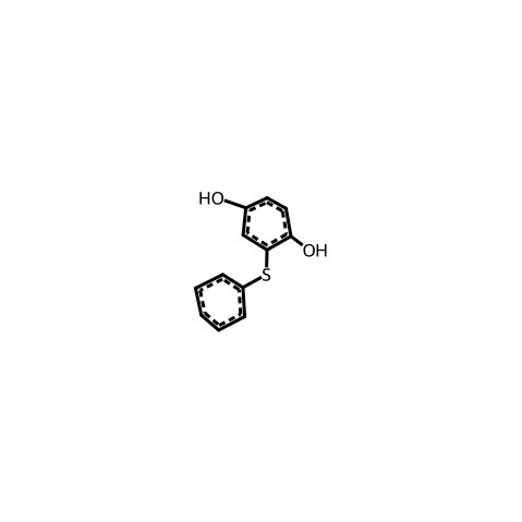 Oc1ccc(O)c(Sc2ccccc2)c1